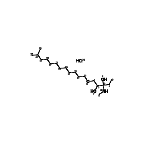 CCC(O)(NC)C(O)COCCCCCCCCCCC(C)C.Cl